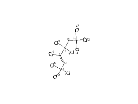 ClC(=CC(Cl)(Cl)Cl)C(Cl)(Cl)CC(Cl)(Cl)Cl